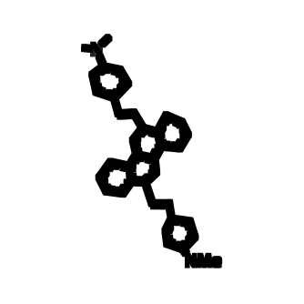 CNc1ccc(/C=C/c2cc3c4ccccc4c(/C=C/c4ccc(N(C)C)cc4)cc3c3ccccc23)cc1